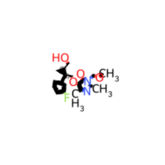 COCn1c(C)nc(C)c(OC[C@@]2(c3cccc(F)c3)C[C@H]2CO)c1=O